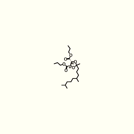 CCCOC(=O)[C@@H]1OC(C)(CCCC(C)CCCC(C)C)O[C@H]1C(=O)OCCC